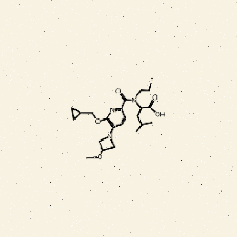 COC1CN(c2ccc(C(=O)N(CCF)C(CC(C)C)C(=O)O)nc2OCC2CC2)C1